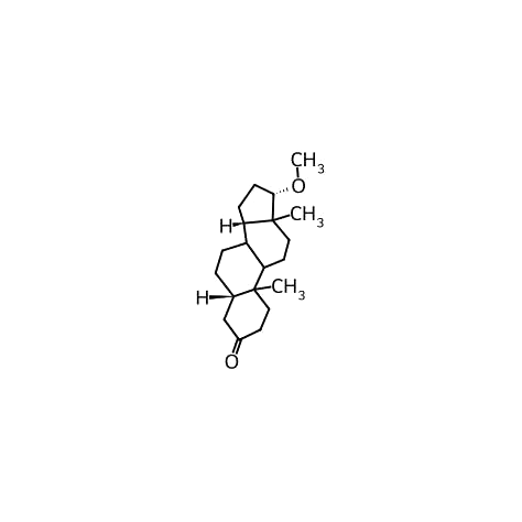 CO[C@H]1CC[C@H]2C3CC[C@H]4CC(=O)CCC4(C)C3CCC12C